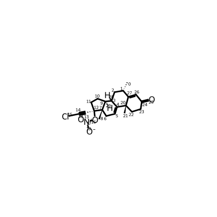 C[C@H]1C[C@@H]2C(=CC[C@@]3(C)[C@H]2CC[C@]3(C#CCl)O[N+](=O)[O-])[C@@]2(C)CCC(=O)C=C12